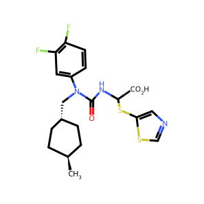 C[C@H]1CC[C@H](CN(C(=O)NC(Sc2cncs2)C(=O)O)c2ccc(F)c(F)c2)CC1